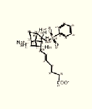 CC1(C)[C@H]2C[C@H](CC=CCCCC(=O)[O-])[C@@H](NS(=O)(=O)c3ccccc3)[C@@H]1C2.[Na+]